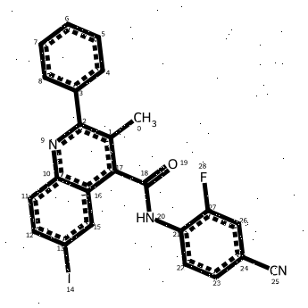 Cc1c(-c2ccccc2)nc2ccc(I)cc2c1C(=O)Nc1ccc(C#N)cc1F